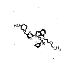 CCOCCN(c1cccc2cc(-c3ncc(CN4CCCC(O)C4)s3)[nH]c12)S(=O)(=O)c1cccs1